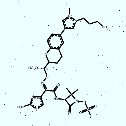 C[n+]1cc(-c2ccc3c(c2)CCC([C@H](O/N=C(\C(=O)NC2C(=O)N(OS(=O)(=O)[O-])C2(C)C)c2csc(N)n2)C(=O)O)O3)cn1CCCN